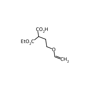 C=COCCC(C(=O)O)C(=O)OCC